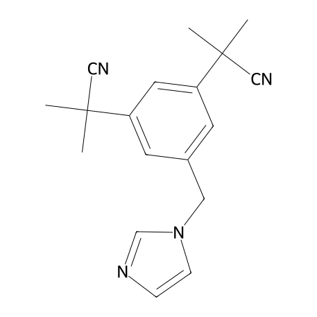 CC(C)(C#N)c1cc(Cn2ccnc2)cc(C(C)(C)C#N)c1